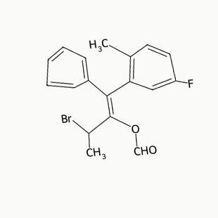 Cc1ccc(F)cc1/C(=C(\OC=O)C(C)Br)c1ccccc1